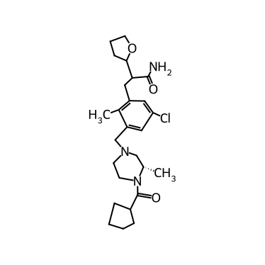 Cc1c(CC(C(N)=O)C2CCCO2)cc(Cl)cc1CN1CCN(C(=O)C2CCCC2)[C@@H](C)C1